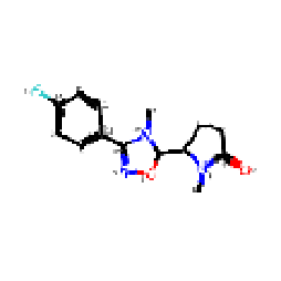 CN1C(=O)CCC1C1ON=C(c2ccc(F)cc2)N1C